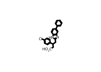 O=C(O)CC(Cc1nc2cc(-c3ccccc3)ccc2[nH]1)c1ccc(Cl)cc1